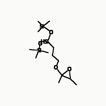 CC1OC1(C)OCCC[SiH](O[Si](C)(C)C)O[Si](C)(C)C